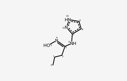 CCCC(=NO)Nc1cc[nH]n1